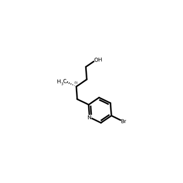 C[C@H](CCO)Cc1ccc(Br)cn1